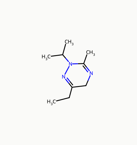 CCC1=NN(C(C)C)C(C)=NC1